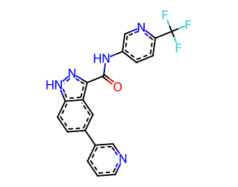 O=C(Nc1ccc(C(F)(F)F)nc1)c1n[nH]c2ccc(-c3cccnc3)cc12